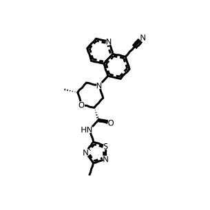 Cc1nsc(NC(=O)[C@H]2CN(c3ccc(C#N)c4ncccc34)C[C@@H](C)O2)n1